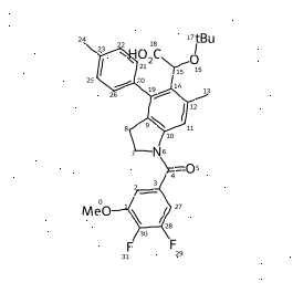 COc1cc(C(=O)N2CCc3c2cc(C)c(C(OC(C)(C)C)C(=O)O)c3-c2ccc(C)cc2)cc(F)c1F